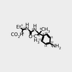 CCC(NC(=O)NC(C)(C)c1ccc(N)cc1)C(=O)O